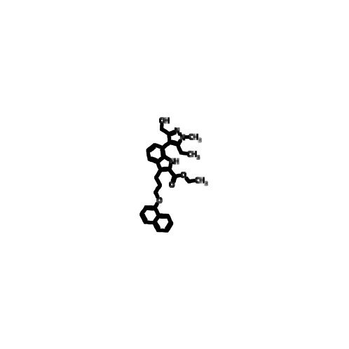 CCOC(=O)c1[nH]c2c(-c3c(CO)nn(C)c3CC)cccc2c1CCCOc1cccc2ccccc12